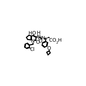 O=C(O)C[C@H](NC(=O)Nc1c(O)c2c(n(Cc3ccccc3Cl)c1=O)CCC2)c1cccc(OC2CCC2)c1